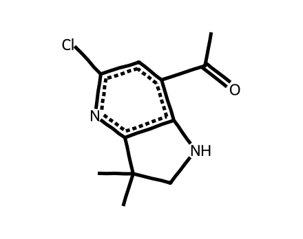 CC(=O)c1cc(Cl)nc2c1NCC2(C)C